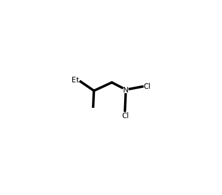 CCC(C)CN(Cl)Cl